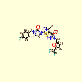 Cc1nc(N2CCN(Cc3ccc(F)cc3)C2=O)sc1C(=O)NCc1ccc(C(F)F)o1